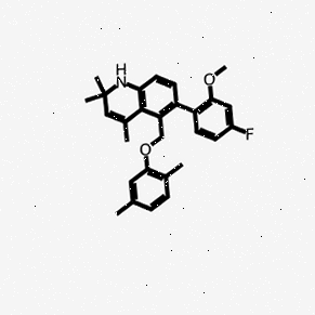 COc1cc(F)ccc1-c1ccc2c(c1COc1cc(C)ccc1C)C(C)=CC(C)(C)N2